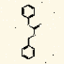 O=C(OCc1ccccc1)Sc1ccccc1